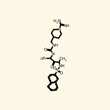 CCCC([N]C(=O)NCC1CCN(C(=N)N)CC1)C(=O)C(C)NS(=O)(=O)c1ccc2ccccc2c1